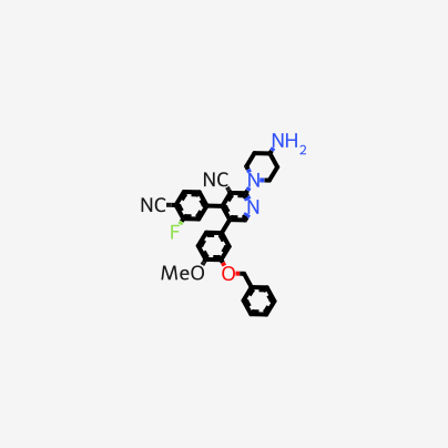 COc1ccc(-c2cnc(N3CCC(N)CC3)c(C#N)c2-c2ccc(C#N)c(F)c2)cc1OCc1ccccc1